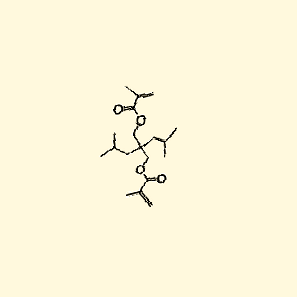 C=C(C)C(=O)OCC(COC(=O)C(=C)C)(CC(C)C)CC(C)C